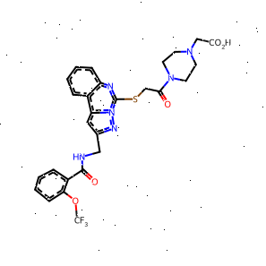 O=C(O)CN1CCN(C(=O)CSc2nc3ccccc3c3cc(CNC(=O)c4ccccc4OC(F)(F)F)nn23)CC1